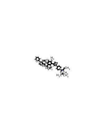 CC/C=C(/OC(C)(C)C)N1CCC(n2cc(-c3c(C)c(Cl)cc(C(C)Nc4ncnc5c4ncn5C4CCCCO4)c3OC)cn2)CC1